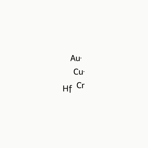 [Au].[Cr].[Cu].[Hf]